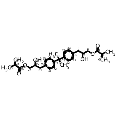 C=C(C)C(=O)OCC(O)Cc1ccc(C(C)(C)c2ccc(CC(O)COC(=O)C(=C)C)cc2)cc1